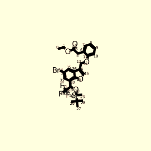 CCOC(=O)Cc1ccccc1OCc1coc2c(C(O[Si](C)(C)C(C)(C)C)C(F)(F)F)cc(Br)cc12